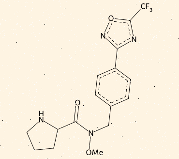 CON(Cc1ccc(-c2noc(C(F)(F)F)n2)cc1)C(=O)C1CCCN1